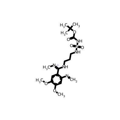 C=Nc1cc(OC)c(OC)cc1/C(=N\C)NCCCNS(=O)(=O)NC(=O)OC(C)(C)C